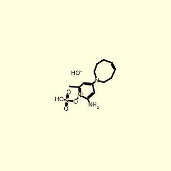 Cc1cc(N2CC/C=C\CCC2)cc(N)[n+]1OS(=O)(=O)O.[OH-]